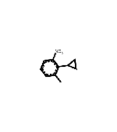 Cc1cccc([N+](=O)[O-])c1C1CC1